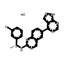 C[C@@H](Nc1ncc2cc(-c3ncnc4[nH]ncc34)ccc2n1)c1cccc(Cl)c1.Cl